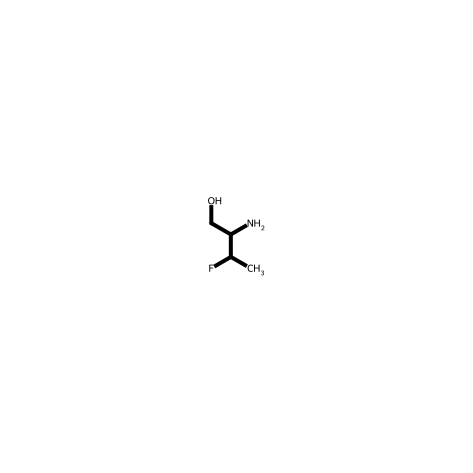 CC(F)C(N)CO